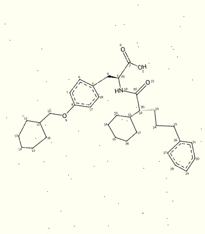 O=C(O)[C@H](Cc1ccc(OCC2CCCCC2)cc1)NC(=O)[C@H](CCCc1ccccc1)C1CCCCC1